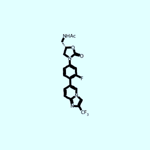 CC(=O)NC[C@H]1CN(c2ccc(-c3ccc4nc(C(F)(F)F)cn4c3)c(F)c2)C(=O)O1